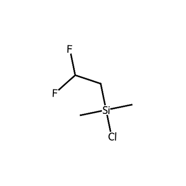 C[Si](C)(Cl)CC(F)F